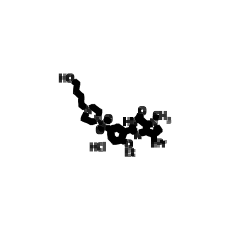 CCCc1cn(C)c2c(=O)[nH]c(-c3cc(S(=O)(=O)N4CCN(CCCCO)CC4)ccc3OCC)nc12.Cl